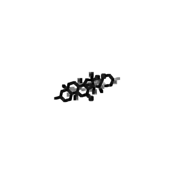 CC1CC[C@]2(C)[C@H]3CC(=O)[C@]4(C)[C@@H]5[C@H](C[C@H]4[C@@H]3CC[C@@]2(C)C1)O[C@]1(CC[C@@H](C)CO1)[C@H]5C